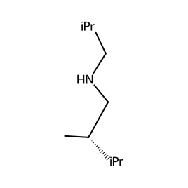 CC(C)CNC[C@@H](C)C(C)C